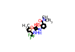 Cc1ccc(C(Nc2c(Nc3cccc(C(=O)N(C)C)c3O)c(=O)c2=O)C(F)(F)F)s1